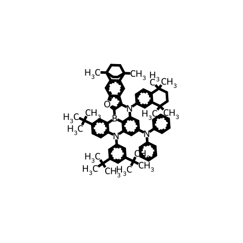 CC(C)(C)c1cc(N2c3ccc(C(C)(C)C)cc3B3c4oc5cc6c(cc5c4N(c4ccc5c(c4)C(C)(C)CCC5(C)C)c4cc(N(c5ccccc5)c5ccccc5)cc2c43)C2(C)CCC6(C)CC2)cc(C(C)(C)C)c1